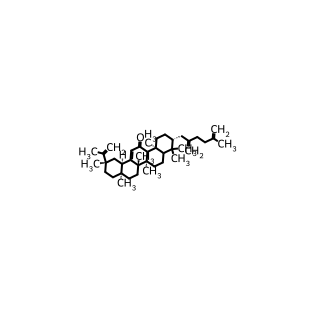 C=C(C)CCC(=C)C[C@H]1CC[C@@]2(C)C(CC[C@]3(C)C2C(=O)C=C2[C@@H]4C[C@@](C)(C(=C)C)CC[C@]4(C)CC[C@]23C)C1(C)C